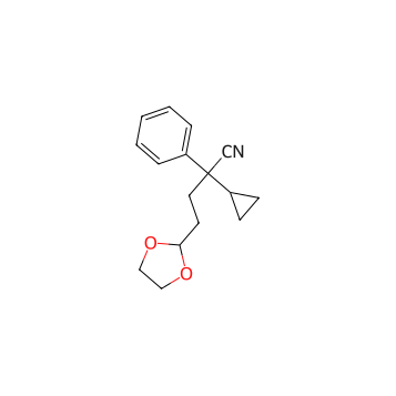 N#CC(CCC1OCCO1)(c1ccccc1)C1CC1